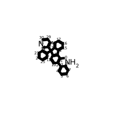 Cc1c(-c2ccccc2N)ccc2c1-c1ccccc1C2(c1ccccc1)c1cccnc1